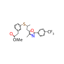 COC(=O)Cc1cccc(SC(C)Cc2oc(-c3ccc(C(F)(F)F)cc3)nc2C)c1